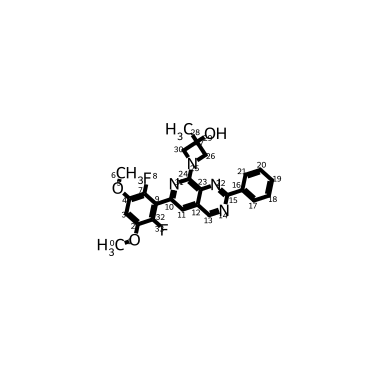 COc1cc(OC)c(F)c(-c2cc3cnc(-c4ccccc4)nc3c(N3CC(C)(O)C3)n2)c1F